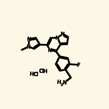 Cl.Cl.Cn1cc(-c2cn3nccc3c(-c3ccc(CN)c(F)c3)n2)cn1